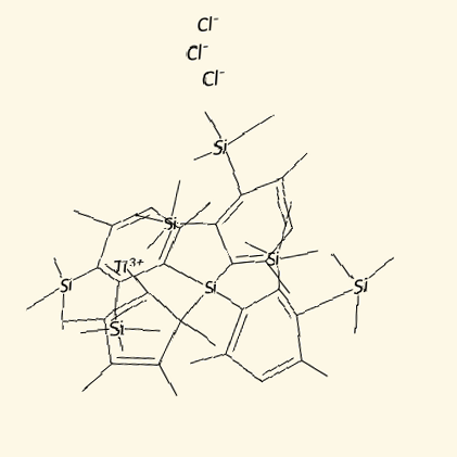 CC1=C(C)C(C)([Si](c2c(C)cc(C)c([Si](C)(C)C)c2[Si](C)(C)C)(c2c(C)cc(C)c([Si](C)(C)C)c2[Si](C)(C)C)c2c(C)cc(C)c([Si](C)(C)C)c2[Si](C)(C)C)[C]([Ti+3])=C1C.[Cl-].[Cl-].[Cl-]